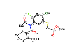 CCCCOC(=O)CSc1cc(N(C(=O)CC)C(=O)C2=C(C(=O)OCC)CCCC2)c(F)cc1Cl